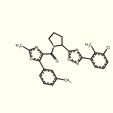 Cc1cccc(-c2oc(C)nc2C(=O)N2CCCC2c2nc(-c3cccc(Cl)c3C)no2)c1